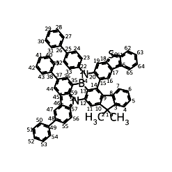 CC1(C)c2ccccc2-c2c1cc1c3c2-c2cc4c(cc2N(c2ccc(-c5ccccc5)cc2)B3c2cc(-c3ccccc3)cc3c5cc(-c6ccccc6)ccc5n-1c23)sc1ccccc14